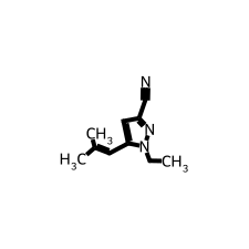 CCn1nc(C#N)cc1C=C(C)C